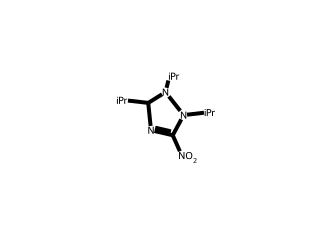 CC(C)C1N=C([N+](=O)[O-])N(C(C)C)N1C(C)C